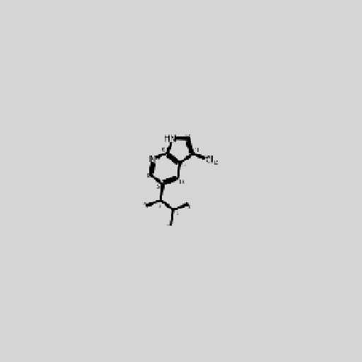 CC(C)C(C)c1cnc2[nH]cc(Cl)c2c1